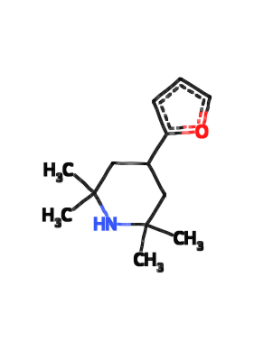 CC1(C)CC(c2ccco2)CC(C)(C)N1